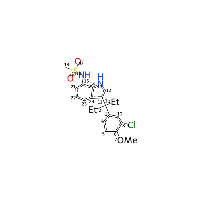 CCC(CC)(c1ccc(OC)c(Cl)c1)c1c[nH]c2c(NS(C)(=O)=O)cccc12